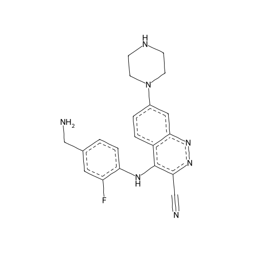 N#Cc1nnc2cc(N3CCNCC3)ccc2c1Nc1ccc(CN)cc1F